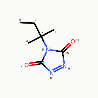 CCC(C)(C)N1C(=O)N=NC1=O